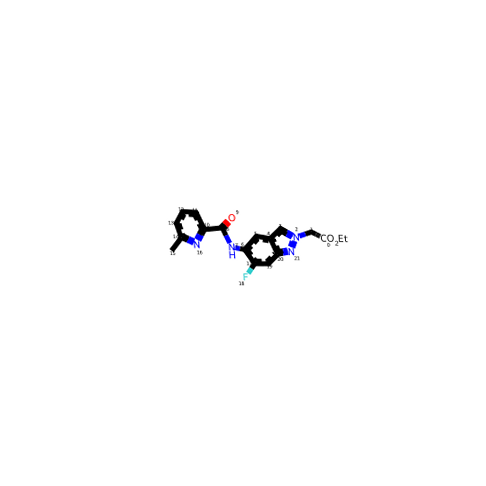 CCOC(=O)Cn1cc2cc(NC(=O)c3cccc(C)n3)c(F)cc2n1